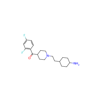 NC1CCC(CCN2CCC(C(=O)c3ccc(F)cc3F)CC2)CC1